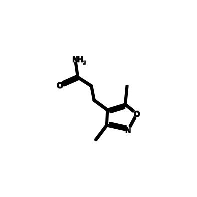 Cc1noc(C)c1CCC(N)=O